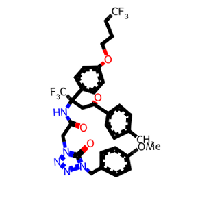 COc1ccc(Cn2nnn(CC(=O)NC(CC(=O)c3ccc(C)cc3)(c3ccc(OCCCC(F)(F)F)cc3)C(F)(F)F)c2=O)cc1